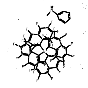 C[NH+](C)c1ccccc1.Fc1c(F)c(F)c2c([B-](c3c(F)c(F)c(F)c4c(F)c(F)c(F)c(F)c34)(c3c(F)c(F)c(F)c4c(F)c(F)c(F)c(F)c34)c3c(F)c(F)c(F)c4c(F)c(F)c(F)c(F)c34)c(F)c(F)c(F)c2c1F